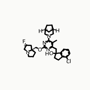 Cc1c(CC2(O)CCc3c(Cl)cccc32)nc(OC[C@@]23CCCN2C[C@H](F)C3)nc1N1C[C@@H]2CC[C@@H](C2)C1